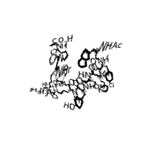 CC(=O)N[C@H](Cc1ccc2ccccc2c1)C(=O)N[C@H](Cc1ccc(Cl)cc1)C(=O)N[C@H](CCc1cccnc1)C(=O)N[C@@H](CO)C(=O)N[C@@H](Cc1ccc(O)cc1)C(=O)N[C@H](CCCNC(N)=O)C(=O)N[C@@H](CC(C)C)C(=O)N[C@@H](CCCCNC(=N)N)C(=O)N1CCCC1C(=O)N[C@H](C)C(=O)O